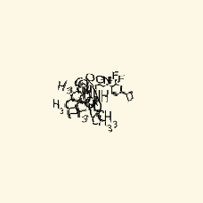 COC(=O)C(c1cc(-c2ccc(C3CCC3)cc2C(F)(F)F)no1)N(NC(=O)OC(C)(C)C)C(=O)OC(C)(C)C